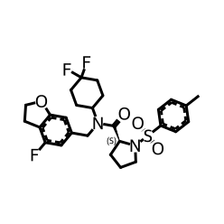 Cc1ccc(S(=O)(=O)N2CCC[C@H]2C(=O)N(Cc2cc(F)c3c(c2)OCC3)C2CCC(F)(F)CC2)cc1